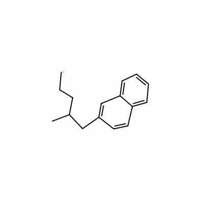 [CH2]CCC(C)Cc1ccc2ccccc2c1